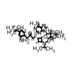 CC(C)N(C[C@H]1OC(n2cnc3c(N)ncnc32)[C@@H]2OC(C)(C)O[C@H]12)[C@H]1C[C@@H](CCC(=O)Cc2ccc(C(C)(C)C)cc2N)C1